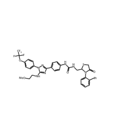 COCCNc1nc(-c2ccc(NC(=O)NCC3SCC(=O)N3c3ccccc3C(C)C)cc2)nn1-c1ccc(OC(F)(F)C(F)(F)F)cc1